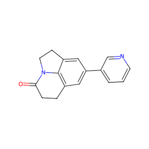 O=C1CCc2cc(-c3cccnc3)cc3c2N1CC3